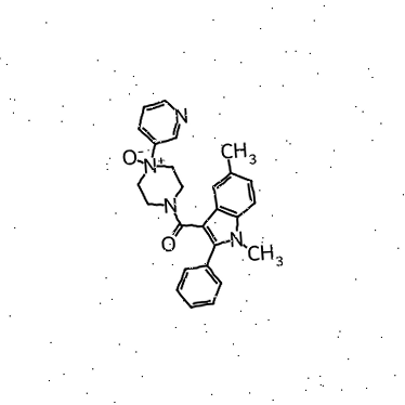 Cc1ccc2c(c1)c(C(=O)N1CC[N+]([O-])(c3cccnc3)CC1)c(-c1ccccc1)n2C